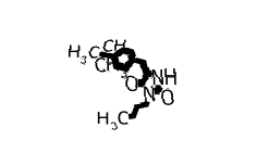 CCCCN1C(=O)NC(=Cc2ccc(C(C)(C)C)cc2)C1=O